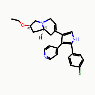 CCO[C@@H]1C[C@@H]2CC(c3c[nH]c(-c4ccc(F)cc4)c3-c3ccncc3)=CCN2C1